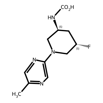 Cc1cnc(N2C[C@@H](F)C[C@H](NC(=O)O)C2)cn1